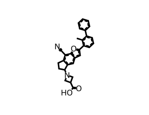 Cc1c(-c2ccccc2)cccc1-c1cc2cc3c(c(C#N)c2o1)CCC3N1CC(C(=O)O)C1